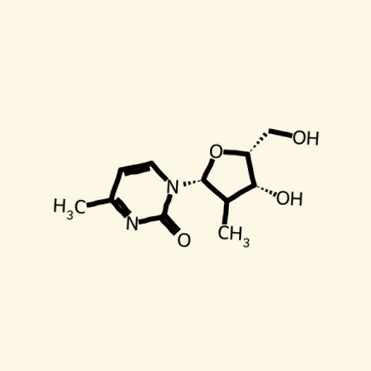 Cc1ccn([C@@H]2O[C@H](CO)[C@H](O)C2C)c(=O)n1